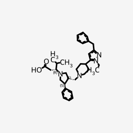 CCn1nc(Cc2ccccc2)cc1C1CCN(C[C@H]2CN([C@H](CC(=O)O)C(C)C)C[C@@H]2c2ccccc2)CC1